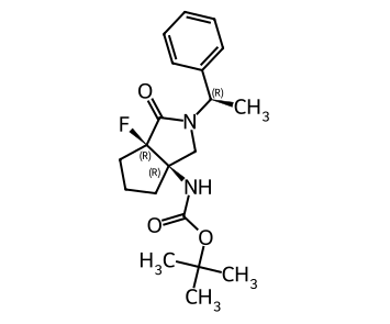 C[C@H](c1ccccc1)N1C[C@]2(NC(=O)OC(C)(C)C)CCC[C@]2(F)C1=O